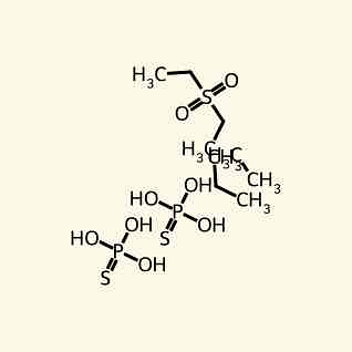 CC.CCC.CCS(=O)(=O)CC.OP(O)(O)=S.OP(O)(O)=S